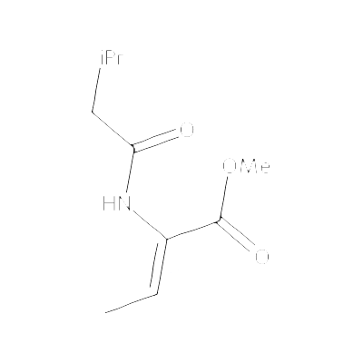 [CH2]OC(=O)/C(=C/C)NC(=O)CC(C)C